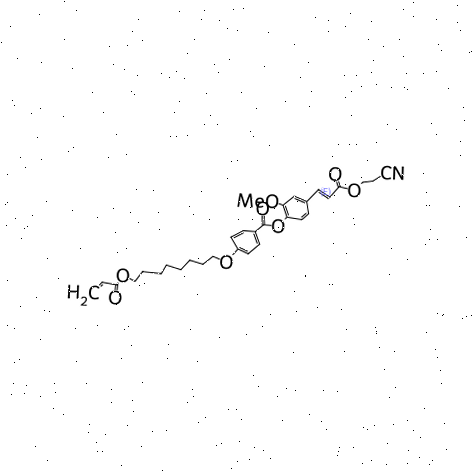 C=CC(=O)OCCCCCCCCOc1ccc(C(=O)Oc2ccc(/C=C/C(=O)OCCC#N)cc2OC)cc1